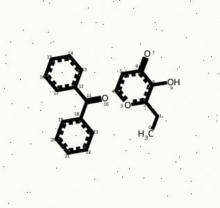 CCc1occc(=O)c1O.O=C(c1ccccc1)c1ccccc1